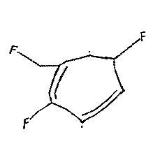 FC1=C(F)[CH]C(F)C=[C]1